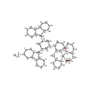 Cc1ccc2c(c1)c1ccccc1n2-c1nc(-c2cccc3c2Oc2ccccc2C32c3ccccc3Oc3ccccc32)nc(-n2c3ccccc3c3ccccc32)n1